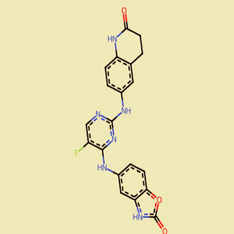 O=C1CCc2cc(Nc3ncc(F)c(Nc4ccc5oc(=O)[nH]c5c4)n3)ccc2N1